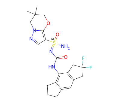 CC1(C)COc2c([S@@](N)(=O)=NC(=O)Nc3c4c(cc5c3CC(F)(F)C5)CCC4)cnn2C1